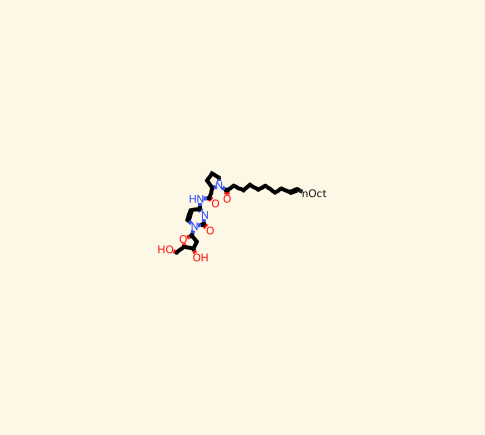 CCCCCCCC/C=C/CCCCCCCC(=O)N1CCCC1C(=O)Nc1ccn(C2CC(O)C(CO)O2)c(=O)n1